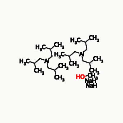 CC(C)[CH2][Al]([CH2]C(C)C)[CH2]C(C)C.CC(C)[CH2][Al]([CH2]C(C)C)[CH2]C(C)C.CO.[NaH].[NaH]